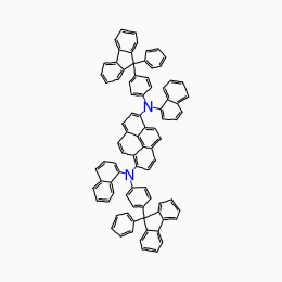 c1ccc(C2(c3ccc(N(c4cccc5ccccc45)c4ccc5ccc6c(N(c7ccc(C8(c9ccccc9)c9ccccc9-c9ccccc98)cc7)c7cccc8ccccc78)ccc7ccc4c5c76)cc3)c3ccccc3-c3ccccc32)cc1